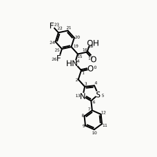 O=C(Cc1csc(-c2ccccc2)n1)NC(C(=O)O)c1ccc(F)cc1F